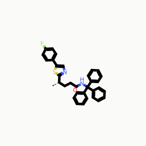 C[C@@H](CCC(=O)NC(c1ccccc1)(c1ccccc1)c1ccccc1)c1ncc(-c2ccc(F)cc2)s1